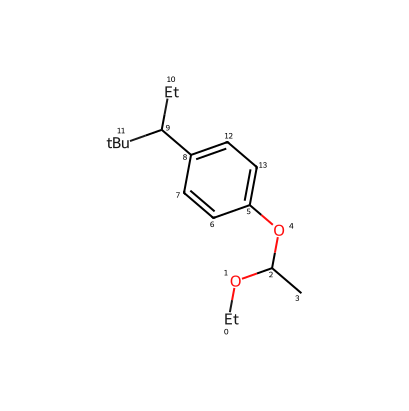 CCOC(C)Oc1ccc(C(CC)C(C)(C)C)cc1